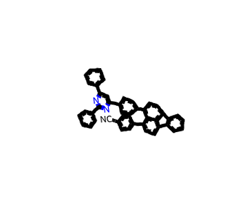 N#Cc1ccc(-c2ccc3c4c(ccc(-c5ccc(-c6cc(-c7ccccc7)nc(-c7ccccc7)n6)cc5)c24)-c2ccccc2-3)cc1